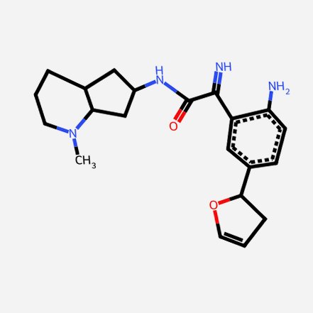 CN1CCCC2CC(NC(=O)C(=N)c3cc(C4CC=CO4)ccc3N)CC21